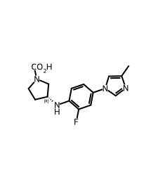 Cc1cn(-c2ccc(N[C@@H]3CCN(C(=O)O)C3)c(F)c2)cn1